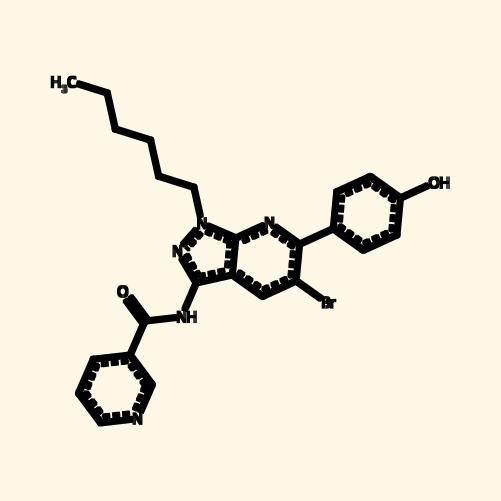 CCCCCCn1nc(NC(=O)c2cccnc2)c2cc(Br)c(-c3ccc(O)cc3)nc21